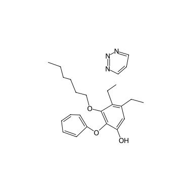 CCCCCCOc1c(CC)c(CC)cc(O)c1Oc1ccccc1.c1cnnnc1